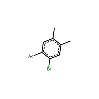 CC(=O)c1cc(C)c(C)cc1Br